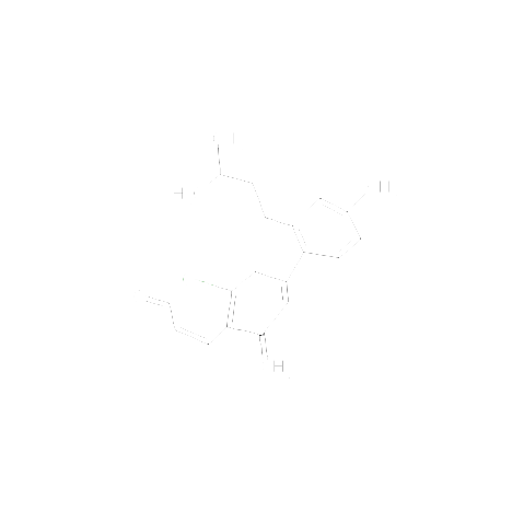 C=C/C=C\C1=C(Cl)CC(c2ccc(C)cc2CCC(C)C)=CC1=C